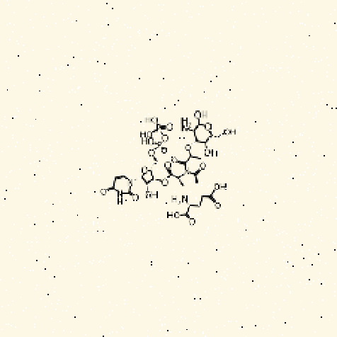 CC(=O)N(C(=O)C(C)O[C@@H]1[C@@H](N)[C@@H](O)O[C@H](CO)[C@H]1O)[C@@H](C)C(=O)O[C@H]1[C@@H](O)[C@H](n2ccc(=O)[nH]c2=O)O[C@@H]1COP(=O)(O)OP(=O)(O)O.N[C@H](CCC(=O)O)C(=O)O